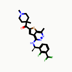 Cc1nnc(N[C@H](C)c2cccc(C(F)F)c2F)c2cc(C(=O)C3(C)CCN(C)CC3)sc12